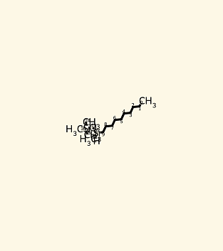 CCCCCCCCCC[SiH](C)O[Si](C)(C)C